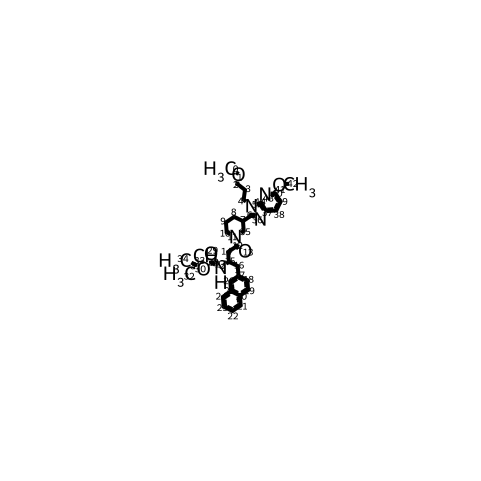 COCCCn1c(C2CCCN(C(=O)CC(Cc3ccc4ccccc4c3)NC(=O)OC(C)(C)C)C2)nc2ccc(OC)nc21